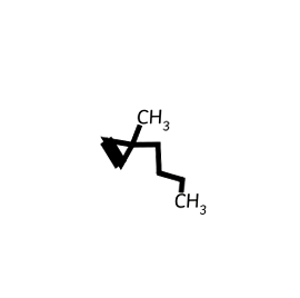 CCCCC1(C)C#C1